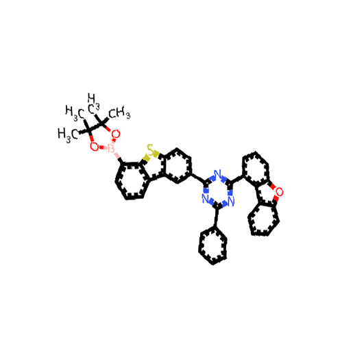 CC1(C)OB(c2cccc3c2sc2ccc(-c4nc(-c5ccccc5)nc(-c5cccc6oc7ccccc7c56)n4)cc23)OC1(C)C